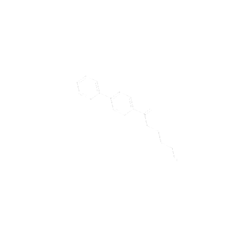 CCCCCC(=O)c1ccc(-c2cccnc2)cc1